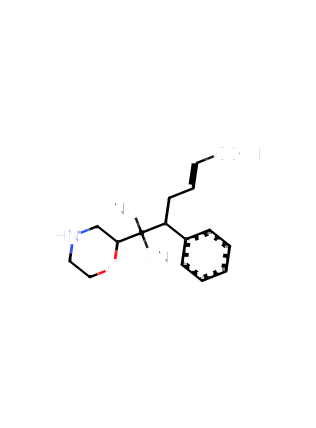 N#CC(C#N)(C1CNCCO1)C(C/C=C/C(=O)O)c1ccccc1